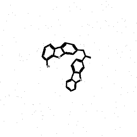 CC(C)c1cccc2c1oc1cc(CC(C)c3ccc4c(c3)sc3ccccc34)ccc12